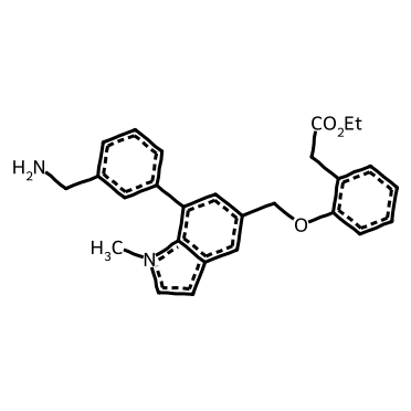 CCOC(=O)Cc1ccccc1OCc1cc(-c2cccc(CN)c2)c2c(ccn2C)c1